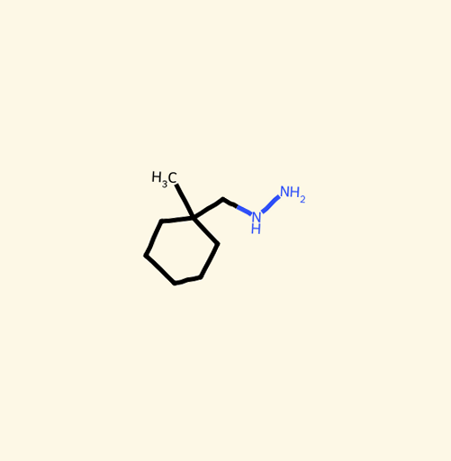 CC1(CNN)CCCCC1